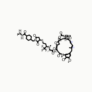 COc1cc2cc(c1Cl)N(C)C(=O)C[C@H](OC(=O)[C@H](C)N(C)C(CCSC1CC(=O)N(CC3CCC(C(=O)NNI)CC3)C1=O)C(F)(F)F)[C@@]1(C)CC(C)(O1)[C@@H]1C[C@@](O)(NC(=O)O1)[C@H](OC)/C=C/C=C(\C)C2